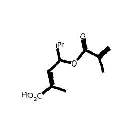 C=C(C)C(=O)OC(C=C(C)C(=O)O)C(C)C